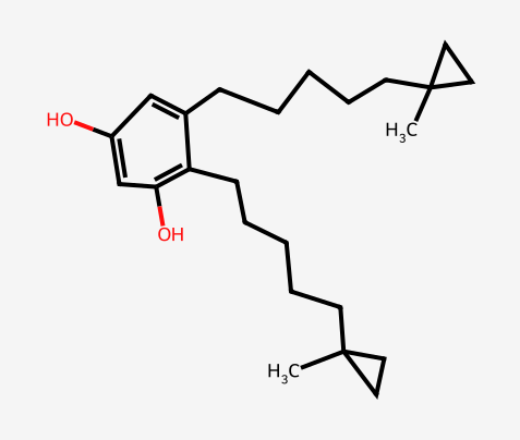 CC1(CCCCCc2cc(O)cc(O)c2CCCCCC2(C)CC2)CC1